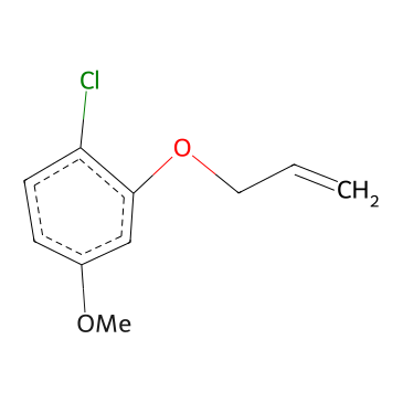 C=CCOc1cc(OC)ccc1Cl